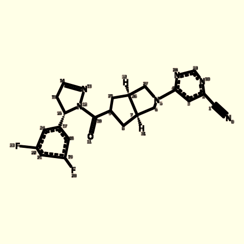 N#Cc1cc(N2C[C@H]3CC(C(=O)N4N=CC[C@H]4c4cc(F)cc(F)c4)C[C@H]3C2)ncn1